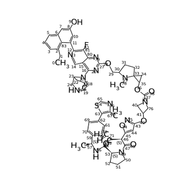 CCc1cccc2cc(O)cc(-c3ncc4c(N5CC6CCCC5CN6)nc(OCC5CCC6(CC6OC(=O)N6CC(Oc7cc([C@@H](C(=O)N8CCC[C@H]8C(=O)N[C@@H](C)c8ccc(-c9scnc9C)cc8)C(C)C)on7)C6)N5C)nc4c3F)c12